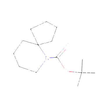 CC(C)(C)OC(=O)N1CCCCC12CCCC2